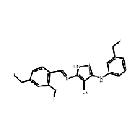 N#Cc1c(Nc2cccc(CI)c2)n[nH]c1/N=C/c1ccc(CI)cc1CI